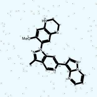 COc1cc2c(cc1-n1nc(C)c3cnc(-c4cnn5cccnc45)cc31)SCCN2